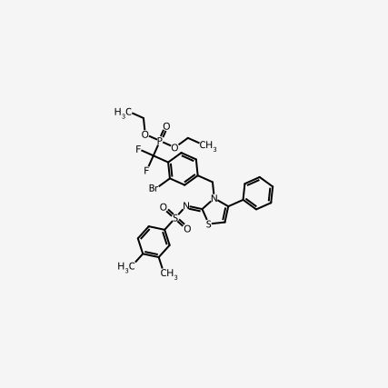 CCOP(=O)(OCC)C(F)(F)c1ccc(Cn2c(-c3ccccc3)cs/c2=N\S(=O)(=O)c2ccc(C)c(C)c2)cc1Br